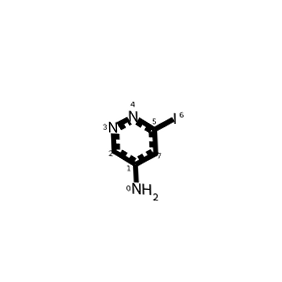 Nc1cnnc(I)c1